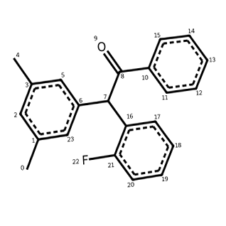 Cc1cc(C)cc(C(C(=O)c2ccccc2)c2ccccc2F)c1